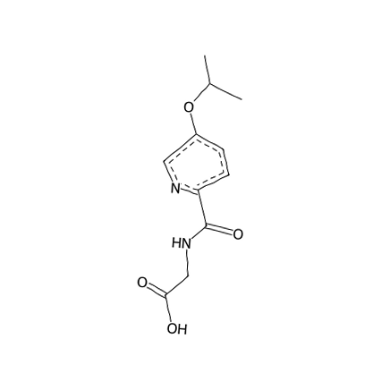 CC(C)Oc1ccc(C(=O)NCC(=O)O)nc1